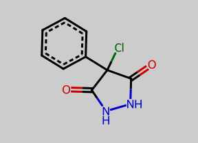 O=C1NNC(=O)C1(Cl)c1ccccc1